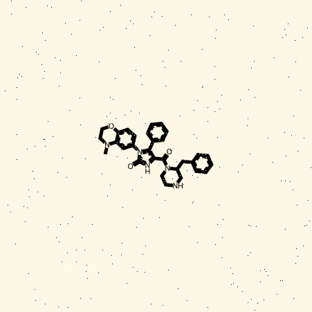 CN1CCOc2ccc(-n3c(-c4ccccc4)c(C(=O)N4CCNCC4Cc4ccccc4)[nH]c3=O)cc21